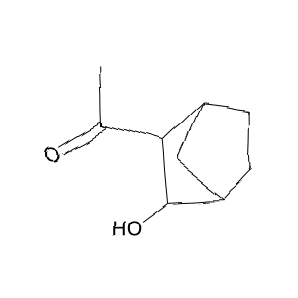 CC(=O)C1C2CCC(C2)C1O